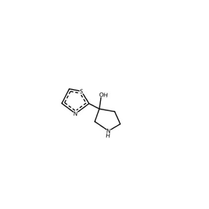 OC1(c2nccs2)CCNC1